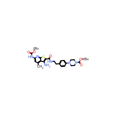 Cc1cc(NC(=O)OC(C)(C)C)nc2sc(C(=O)NCCc3ccc(N4CCN(C(=O)OC(C)(C)C)CC4)cc3)c(N)c12